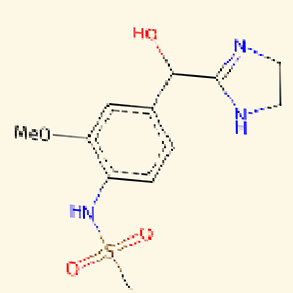 COc1cc(C(O)C2=NCCN2)ccc1NS(C)(=O)=O